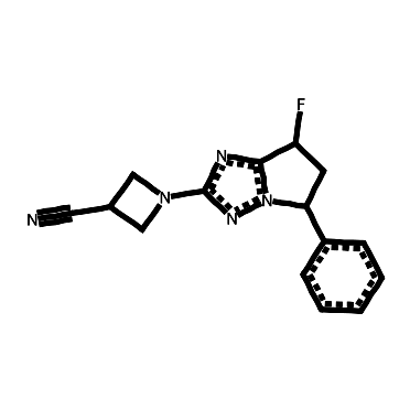 N#CC1CN(c2nc3n(n2)C(c2ccccc2)CC3F)C1